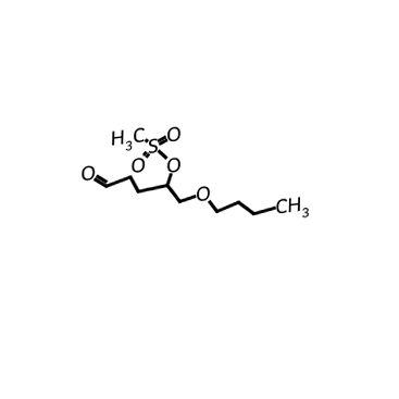 CCCCOCC(CCC=O)OS(C)(=O)=O